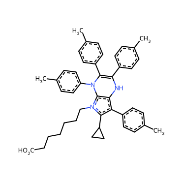 Cc1ccc(C2=C(c3ccc(C)cc3)N(c3ccc(C)cc3)c3c(c(-c4ccc(C)cc4)c(C4CC4)n3CCCCCCC(=O)O)N2)cc1